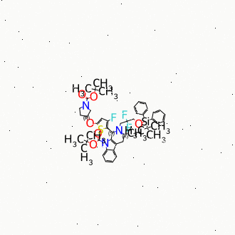 C[C@@H]1Cc2c(n(C(=O)OC(C)(C)C)c3ccccc23)[C@@H](c2sc(O[C@@H]3CCN(C(=O)OC(C)(C)C)C3)cc2F)N1CC(F)(F)CO[Si](c1ccccc1)(c1ccccc1)C(C)(C)C